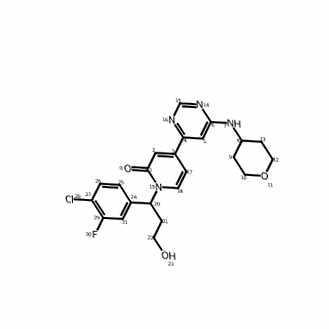 O=c1cc(-c2cc(NC3CCOCC3)ncn2)ccn1C(CCO)c1ccc(Cl)c(F)c1